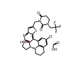 O=C1CCN(CC(F)(F)F)C(=O)N1Cc1cc2nccc(-c3cc(Cl)cc4c3N([C@H]3CCNC3)CCC4)c2s1.O=CO